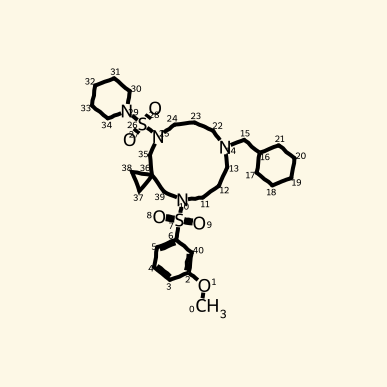 COc1cccc(S(=O)(=O)N2CCCN(CC3CCCCC3)CCCN(S(=O)(=O)N3CCCCC3)CC3(CC3)C2)c1